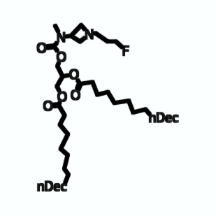 CCCCCCCCCCCCCCCCCC(=O)OCC(COC(=O)N(C)C1CN(CCCF)C1)OC(=O)CCCCCCCCCCCCCCCCC